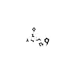 CC(C)C[C@H](NC(=O)C(=O)NC1CCC1)C(=O)N[C@@H](C[C@@H]1CCNC1=O)C(=O)COc1c(F)c(F)cc(F)c1F